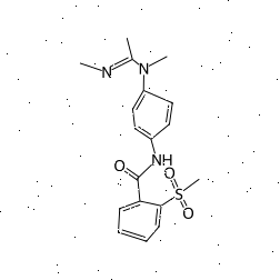 CN=C(C)N(C)c1ccc(NC(=O)c2ccccc2S(C)(=O)=O)cc1